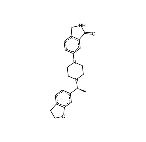 C[C@@H](c1ccc2c(c1)OCC2)N1CCN(c2ccc3c(c2)C(=O)NC3)CC1